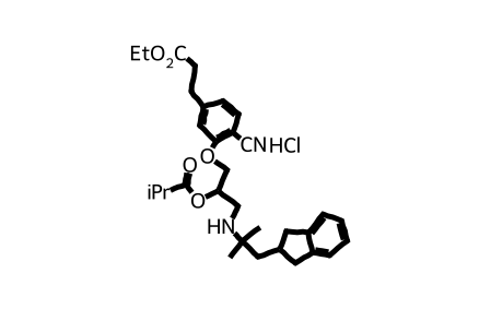 CCOC(=O)CCc1ccc(C#N)c(OCC(CNC(C)(C)CC2Cc3ccccc3C2)OC(=O)C(C)C)c1.Cl